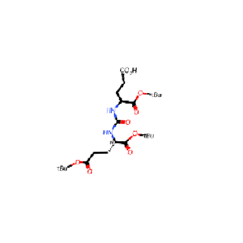 CC(C)(C)OC(=O)CC[C@H](NC(=O)NC(CCC(=O)O)C(=O)OC(C)(C)C)C(=O)OC(C)(C)C